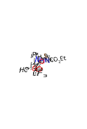 C#CCCCCNC(CC(OCCCOC(=O)C(F)(F)F)C1=NC(C(=O)OCC)CS1)C(C)C